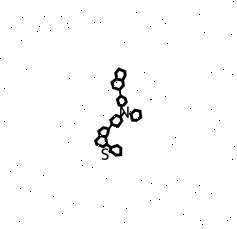 c1ccc(N(c2ccc(-c3ccc4ccccc4c3)cc2)c2ccc(-c3ccc4ccc5sc6ccccc6c5c4c3)cc2)cc1